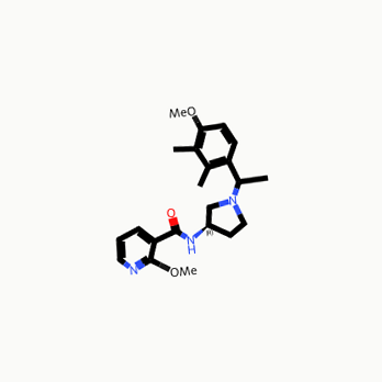 COc1ccc(C(C)N2CC[C@@H](NC(=O)c3cccnc3OC)C2)c(C)c1C